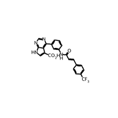 O=C(/C=C/c1ccc(C(F)(F)F)cc1)Nc1cccc(-c2ncnc3[nH]cc(C(=O)O)c23)c1